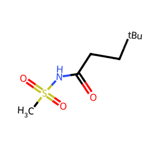 CC(C)(C)CCC(=O)NS(C)(=O)=O